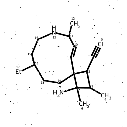 C#CC1C(C)C(C)(N)C12/C=C/C(C)NCCC(CC)CC2